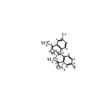 C=C(C)c1cc(F)ccc1[SiH2]c1ccc(F)cc1C(=C)C